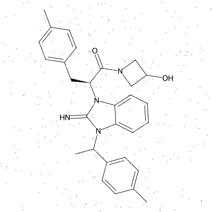 Cc1ccc(C[C@@H](C(=O)N2CC(O)C2)n2c(=N)n(C(C)c3ccc(C)cc3)c3ccccc32)cc1